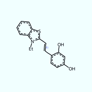 CC[n+]1c(/C=C/c2ccc(O)cc2O)sc2ccccc21